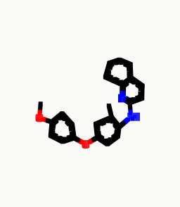 COc1ccc(Oc2ccc(Nc3ccc4ccccc4n3)c(C)c2)cc1